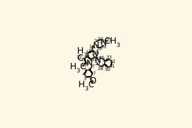 COc1cccc(Cn2c(C)c(C)c3cc(CN4CCN(C)CC4)nc(N4CCc5ccccc5C4)c32)c1